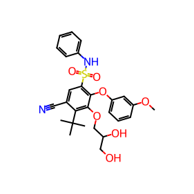 COc1cccc(Oc2c(S(=O)(=O)Nc3ccccc3)cc(C#N)c(C(C)(C)C)c2OCC(O)CO)c1